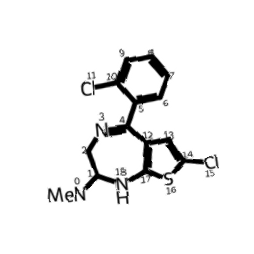 CNC1CN=C(c2ccccc2Cl)c2cc(Cl)sc2N1